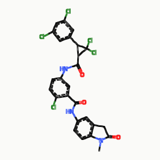 CN1C(=O)Cc2cc(NC(=O)c3cc(NC(=O)C4C(c5cc(Cl)cc(Cl)c5)C4(Cl)Cl)ccc3Cl)ccc21